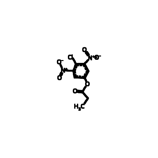 CCC(=O)Oc1cc([N+](=O)[O-])c(Cl)c([N+](=O)[O-])c1